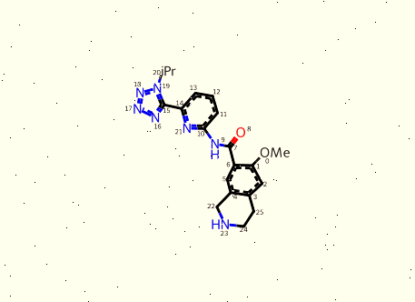 COc1cc2c(cc1C(=O)Nc1cccc(-c3nnnn3C(C)C)n1)CNCC2